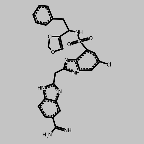 N=C(N)c1ccc2[nH]c(Cc3nc4c(S(=O)(=O)NC(Cc5ccccc5)C5=COCO5)cc(Cl)cc4[nH]3)nc2c1